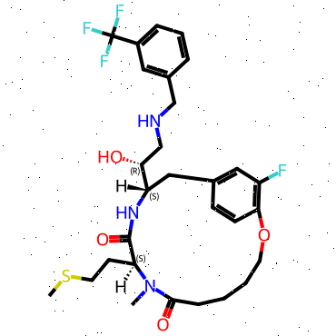 CSCC[C@H]1C(=O)N[C@H]([C@H](O)CNCc2cccc(C(F)(F)F)c2)Cc2ccc(c(F)c2)OCCCCC(=O)N1C